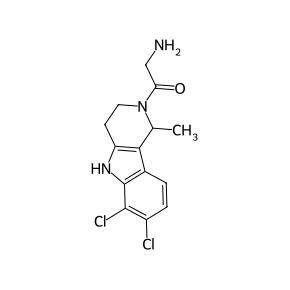 CC1c2c([nH]c3c(Cl)c(Cl)ccc23)CCN1C(=O)CN